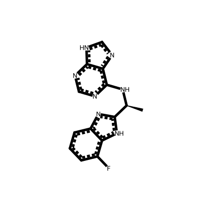 C[C@H](Nc1ncnc2[nH]cnc12)c1nc2cccc(F)c2[nH]1